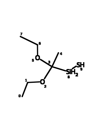 CCOC(C)(OCC)[SiH2]S